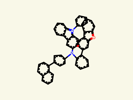 c1ccc(-n2c3ccccc3c3cc(N(c4ccc(-c5cccc6ccccc56)cc4)c4ccccc4-c4ccc5c(c4)oc4ccccc45)ccc32)cc1